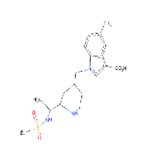 CCS(=O)(=O)NC(C)C1CC(Cn2cc(C(=O)O)c3cc(C)ccc32)CCN1